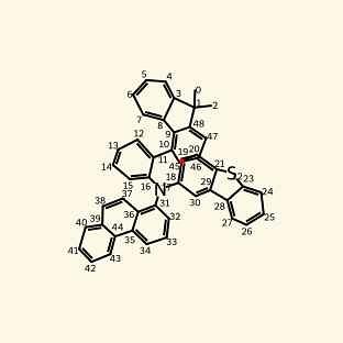 CC1(C)c2ccccc2-c2c(-c3ccccc3N(c3ccc4sc5ccccc5c4c3)c3cccc4c3ccc3ccccc34)cccc21